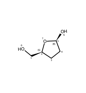 OC[C@@H]1CC[C@H](O)O1